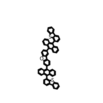 c1ccc2c(c1)sc1c(-c3c4ccccc4c(-c4ccc5c(c4)oc4ccc(-c6c7ccccc7c(-c7cccc8c7sc7ccccc78)c7ccccc67)cc45)c4ccccc34)cccc12